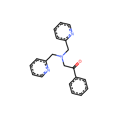 O=C(CN(Cc1ccccn1)Cc1ccccn1)c1ccccc1